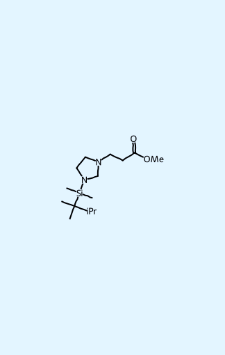 COC(=O)CCN1CCN([Si](C)(C)C(C)(C)C(C)C)C1